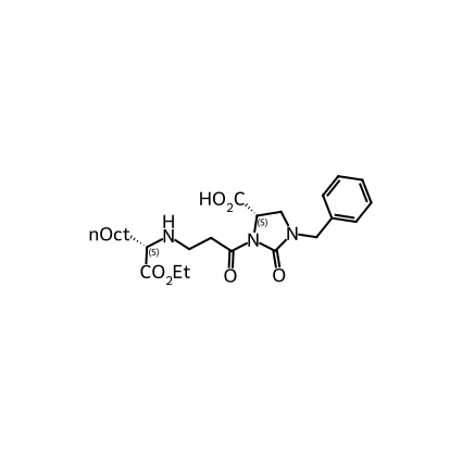 CCCCCCCC[C@H](NCCC(=O)N1C(=O)N(Cc2ccccc2)C[C@H]1C(=O)O)C(=O)OCC